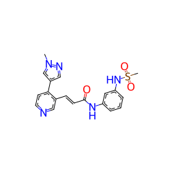 Cn1cc(-c2ccncc2C=CC(=O)Nc2cccc(NS(C)(=O)=O)c2)cn1